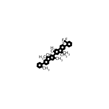 Cc1ccccc1-c1ccc2c(c1)C(C)(C)c1cc(-c3cc4c(cc3C)-c3ccc(-c5ccccc5C(F)(F)F)cc3C4(C)C)c(C)cc1-2